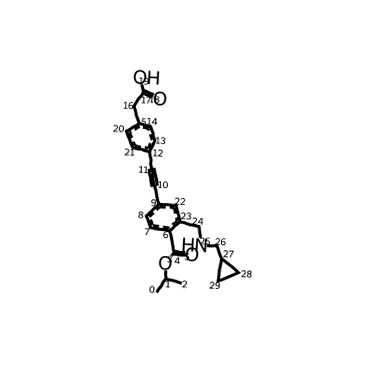 CC(C)OC(=O)c1ccc(C#Cc2ccc(CC(=O)O)cc2)cc1CNCC1CC1